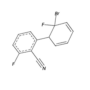 N#Cc1c(F)cccc1C1C=CC=CC1(F)Br